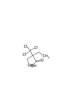 CCC(CO)(C(=O)O)C(Cl)(Cl)Cl